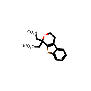 CCOC(=O)CC1(CC(=O)O)OCCc2c1sc1ccccc21